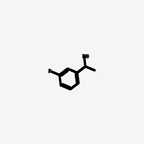 CC([NH])c1cccc(F)c1